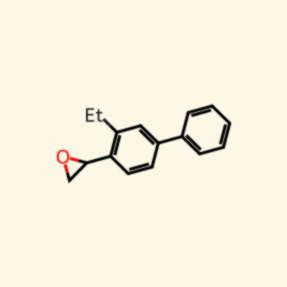 CCc1cc(-c2ccccc2)ccc1C1CO1